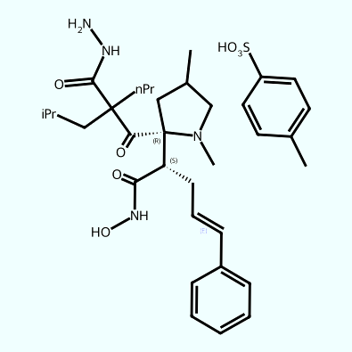 CCCC(CC(C)C)(C(=O)NN)C(=O)[C@]1([C@H](C/C=C/c2ccccc2)C(=O)NO)CC(C)CN1C.Cc1ccc(S(=O)(=O)O)cc1